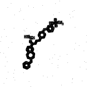 CS(=O)(=O)Nc1cccc(CN2CCC(CCCC(=O)c3ccc4c(c3)CCN(Cc3ccccc3)CC4)CC2)c1.Cl.Cl